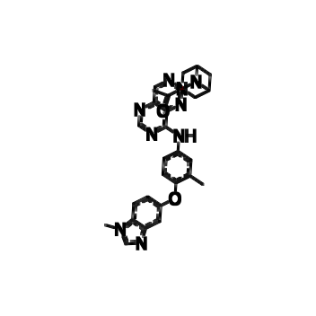 CC(=O)N1CC2CC(C1)N2c1ncc2ncnc(Nc3ccc(Oc4ccc5c(c4)ncn5C)c(C)c3)c2n1